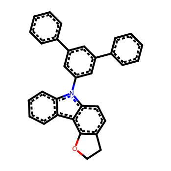 c1ccc(-c2cc(-c3ccccc3)cc(-n3c4ccccc4c4c5c(ccc43)CCO5)c2)cc1